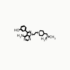 CN(C)CC1CCN(CCn2nc(-c3cccc(O)c3)c3c(N)ncnc32)CC1